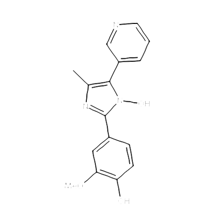 COc1cc(-c2nc(C)c(-c3cccnc3)n2O)ccc1O